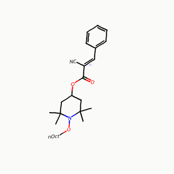 CCCCCCCCON1C(C)(C)CC(OC(=O)/C(C#N)=C/c2ccccc2)CC1(C)C